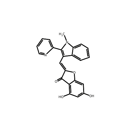 Cn1c(-c2ccccn2)c(C=C2Oc3cc(O)cc(O)c3C2=O)c2ccccc21